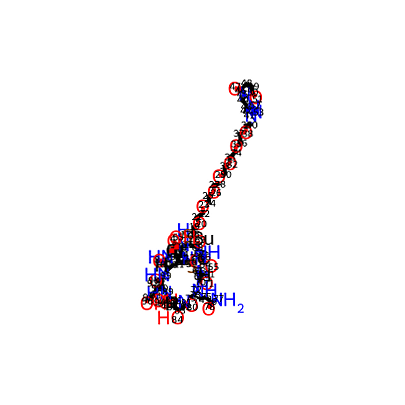 CC[C@H](C)[C@@H]1NC(=O)CNC(=O)[C@@H]2Cc3c([nH]c4c(CSCCOCCOCCOCCOCCOCCOCCOCCn5cc(CN6C(=O)C=CC6=O)nn5)c(O)ccc34)[S+]([O-])C[C@H](NC(=O)CNC1=O)C(=O)N[C@@H](CCC(N)=O)C(=O)N1C[C@H](O)C[C@H]1C(=O)NC([C@@H](C)[C@@H](O)CO)C(=O)N2